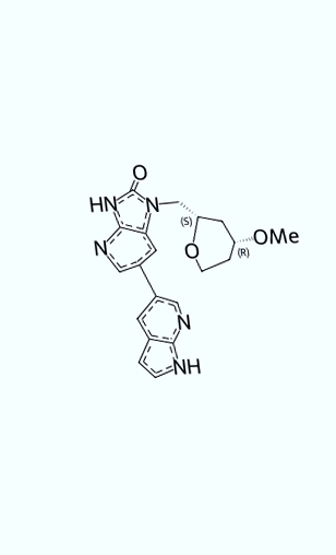 CO[C@@H]1CCO[C@H](Cn2c(=O)[nH]c3ncc(-c4cnc5[nH]ccc5c4)cc32)C1